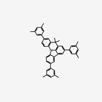 Cc1cc(C)cc(-c2ccc3c(c2)C(C)(C)c2cc(-c4cc(C)cc(C)c4)cc4c5cc(-c6cc(C)cc(C)c6)ccc5n-3c24)c1